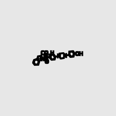 O=C(O)C(Cc1ccccc1)NS(=O)(=O)c1ccc(N2CCN(c3ccc(O)cc3)CC2)cc1